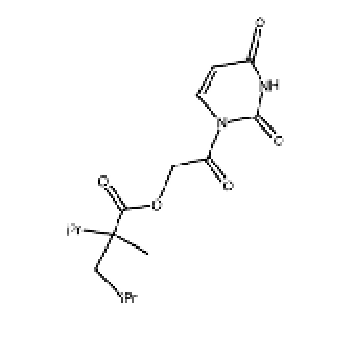 CC(C)CC(C)(C(=O)OCC(=O)n1ccc(=O)[nH]c1=O)C(C)C